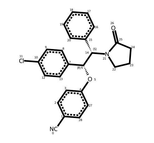 N#Cc1ccc(O[C@H](c2ccc(Cl)cc2)[C@H](c2ccccc2)N2CCCC2=O)cc1